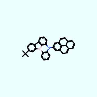 CC(C)(C)c1ccc2c(c1)B1c3ccccc3N(c3cc4c5c(c3)CC=C3C=CC=C(C=C4)C35)c3cccc-2c31